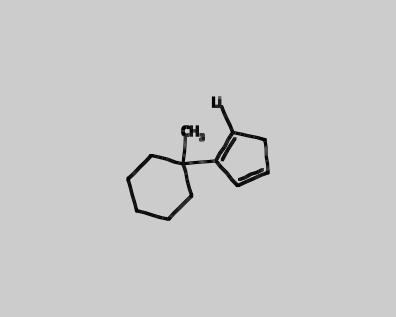 [Li][C]1=C(C2(C)CCCCC2)C=CC1